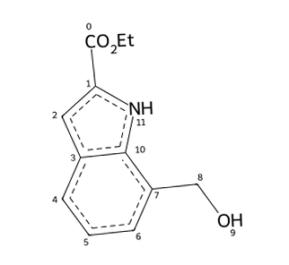 CCOC(=O)c1cc2cccc(CO)c2[nH]1